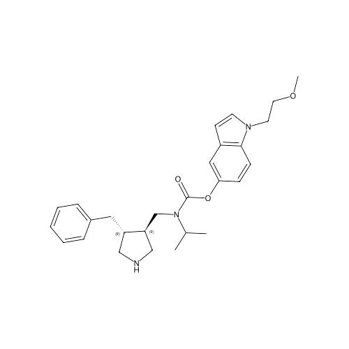 COCCn1ccc2cc(OC(=O)N(C[C@H]3CNC[C@@H]3Cc3ccccc3)C(C)C)ccc21